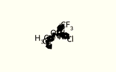 Cc1cc(C(=O)N[C@@H](Cc2ccc(C(F)(F)F)cc2)c2nc3cc(Cl)ccc3[nH]2)ccc1C(=O)N1CCCC1